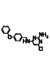 Nc1nc(Cl)cc(NCc2ccc(Oc3ccccc3)cc2)n1